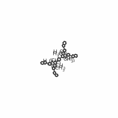 CC1(C)c2cc(-c3ccc4ccccc4c3)ccc2N2c3ccc(-c4ccc5ccccc5c4)cc3C(C)(C)c3cc(-c4ccc(-c5cc6c7c(c5)C(C)(C)c5cc(-c8ccc9ccccc9c8)ccc5N7c5ccc(-c7ccc8ccccc8c7)cc5C6(C)C)cc4)cc1c32